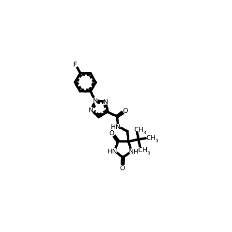 CC(C)(C)C1(CNC(=O)c2cnn(-c3ccc(F)cc3)n2)NC(=O)NC1=O